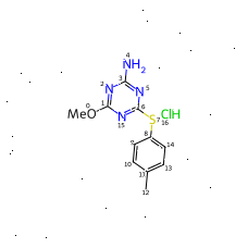 COc1nc(N)nc(Sc2ccc(C)cc2)n1.Cl